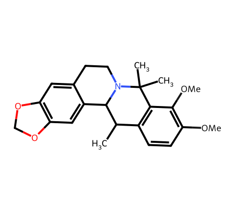 COc1ccc2c(c1OC)C(C)(C)N1CCc3cc4c(cc3C1C2C)OCO4